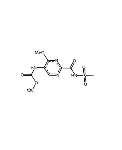 COc1nc(C(=O)NS(C)(=O)=O)ncc1NC(=O)OC(C)(C)C